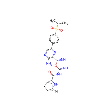 CC(C)S(=O)(=O)c1ccc(-c2cnc(N)c(C(=N)OC(=N)NC(=O)C3N[C@H]4CCC3C4)n2)cc1